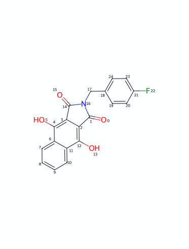 O=C1c2c(c(O)c3ccccc3c2O)C(=O)N1Cc1ccc(F)cc1